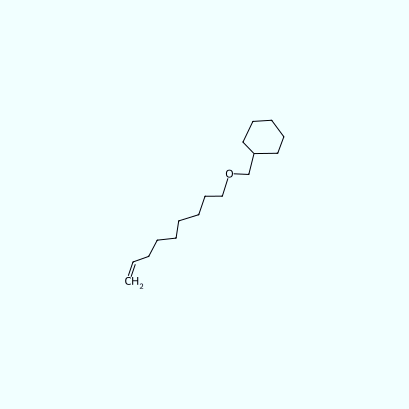 C=CCCCCCCCOCC1CCCCC1